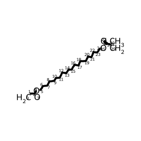 C=CC(=O)OCCCCCCCCCCCCCCCCCCCCOC(=O)C(=C)C